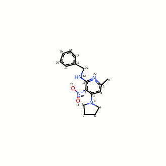 Cc1cc(N2CCCC2)c([N+](=O)[O-])c(NCc2ccccc2)n1